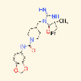 CC(C)CC1(C)NC(=N)N(CC2CCN(C(=O)Nc3ccc4c(c3)OCO4)CC2)C1=O